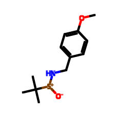 COc1ccc(CN[S+]([O-])C(C)(C)C)cc1